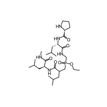 CCOP(=O)(CNC(=O)[C@H](CC(C)C)NC(=O)[C@@H]1CCCN1)CC(CC(C)C)C(=O)N[C@@H](CC(C)C)C(=O)NC